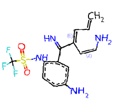 C=C/C=C(\C=C/N)C(=N)c1cc(N)ccc1NS(=O)(=O)C(F)(F)F